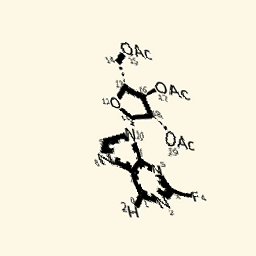 [2H]c1nc(F)nc2c1ncn2[C@@H]1O[C@H](COC(C)=O)[C@@H](OC(C)=O)[C@@H]1OC(C)=O